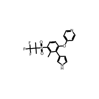 Cc1c(S(=O)(=O)C(C)(C)C(F)(F)F)ccc(Oc2ccncc2)c1-c1cc[nH]c1